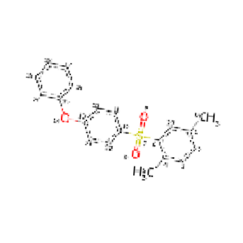 Cc1ccc(C)c(S(=O)(=O)c2ccc(Oc3ccccc3)cc2)c1